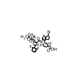 CC(C)(C)OC(=O)Nc1sc(-c2c(F)cccc2F)nc1C(=O)Nc1cnc2c(c1N1CCC[C@H](NC(=O)O)C1)CCC2C#N